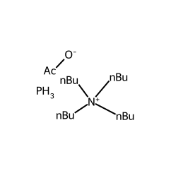 CC(=O)[O-].CCCC[N+](CCCC)(CCCC)CCCC.P